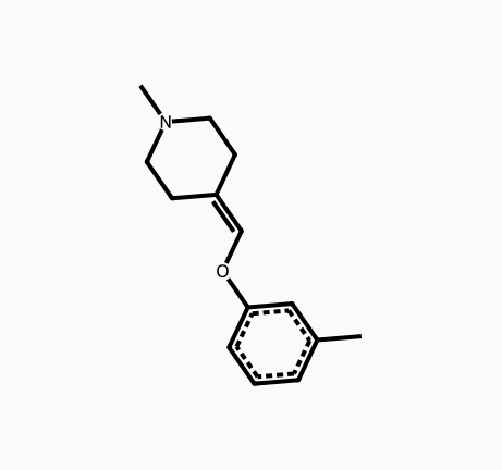 Cc1cccc(OC=C2CCN(C)CC2)c1